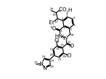 CCC(c1cccc2c1C(=O)NN(C(=O)c1c(Cl)cc(-c3cnn(C)c3)cc1Cl)C2)C(C)C(=O)O